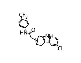 O=C(CN1CCc2c([nH]c3ccc(Cl)cc23)C1)Nc1ccc(C(F)(F)F)cc1